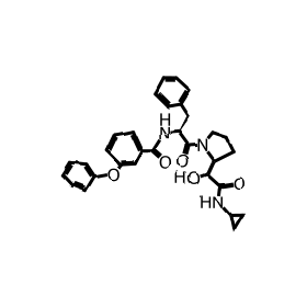 O=C(N[C@@H](Cc1ccccc1)C(=O)N1CCCC1C(O)C(=O)NC1CC1)c1cccc(Oc2ccccc2)c1